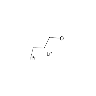 CC(C)CCC[O-].[Li+]